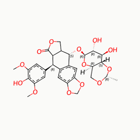 COc1cc([C@@H]2c3cc4c(cc3[C@@H](O[C@@H]3O[C@@H]5CO[C@@H](C)O[C@H]5[C@H](O)[C@H]3O)C3COC(=O)C32)OCO4)cc(OC)c1O